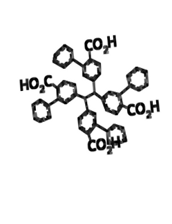 O=C(O)c1ccc(C(c2ccc(C(=O)O)c(-c3ccccc3)c2)C(c2ccc(C(=O)O)c(-c3ccccc3)c2)c2ccc(C(=O)O)c(-c3ccccc3)c2)cc1-c1ccccc1